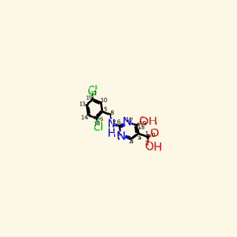 O=C(O)c1cnc(NCc2cc(Cl)ccc2Cl)nc1O